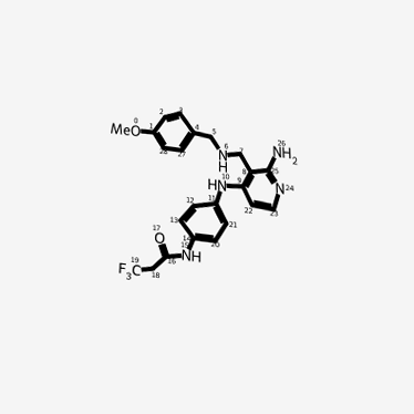 COc1ccc(CNCc2c(Nc3ccc(NC(=O)CC(F)(F)F)cc3)ccnc2N)cc1